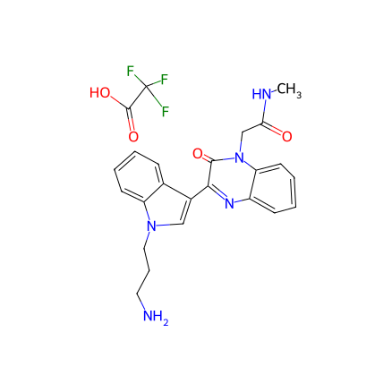 CNC(=O)Cn1c(=O)c(-c2cn(CCCN)c3ccccc23)nc2ccccc21.O=C(O)C(F)(F)F